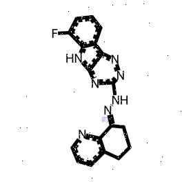 Fc1cccc2c1[nH]c1nc(N/N=C3\CCCc4cccnc43)nnc12